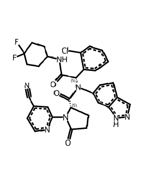 N#Cc1ccnc(N2C(=O)CC[C@H]2C(=O)N(c2ccc3cn[nH]c3c2)[C@H](C(=O)NC2CCC(F)(F)CC2)c2ccccc2Cl)c1